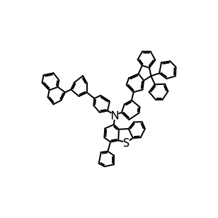 c1ccc(-c2ccc(N(c3ccc(-c4cccc(-c5cccc6ccccc56)c4)cc3)c3cccc(-c4ccc5c(c4)C(c4ccccc4)(c4ccccc4)c4ccccc4-5)c3)c3c2sc2ccccc23)cc1